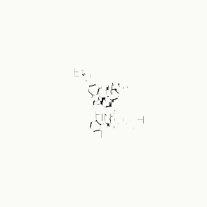 CCOCc1cc(OC)c(-c2c(F)cc(C[C@H](NC(=O)c3c(F)cccc3F)C(=O)O)c3cccnc23)c(OC)c1